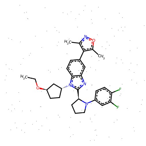 CCO[C@@H]1CC[C@@H](n2c([C@@H]3CCCN3c3ccc(F)c(F)c3)nc3cc(-c4c(C)noc4C)ccc32)C1